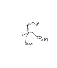 CCCCC(F)(C(=O)O)C(=O)OCC